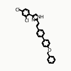 Clc1ccc(-c2c[nH]c(C=Cc3ccc(-c4ccc(OCc5ccccc5)cc4)cc3)n2)c(Cl)c1